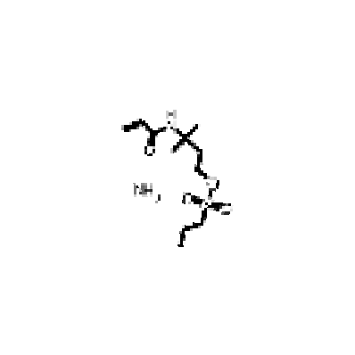 C=CC(=O)NC(C)(C)CCOS(=O)(=O)CCC.N